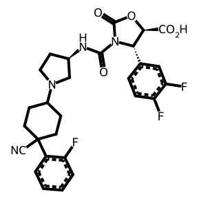 N#CC1(c2ccccc2F)CCC(N2CC[C@@H](NC(=O)N3C(=O)O[C@@H](C(=O)O)[C@@H]3c3ccc(F)c(F)c3)C2)CC1